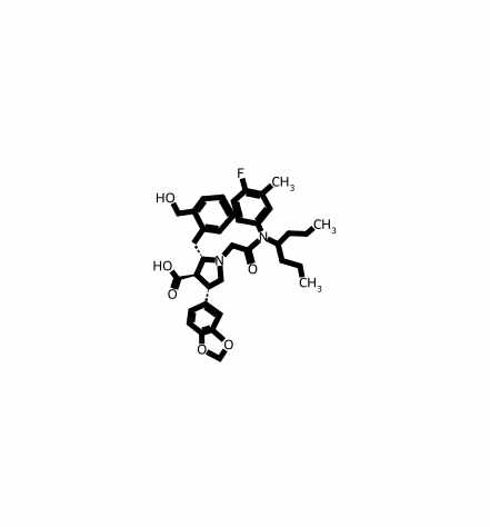 CCCC(CCC)N(C(=O)CN1C[C@H](c2ccc3c(c2)OCO3)[C@@H](C(=O)O)[C@@H]1Cc1ccccc1CO)c1ccc(F)c(C)c1